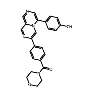 N#Cc1ccc(C2=CN=C=C3C=NC(c4ccc(C(=O)N5CCOCC5)cc4)=CN32)cc1